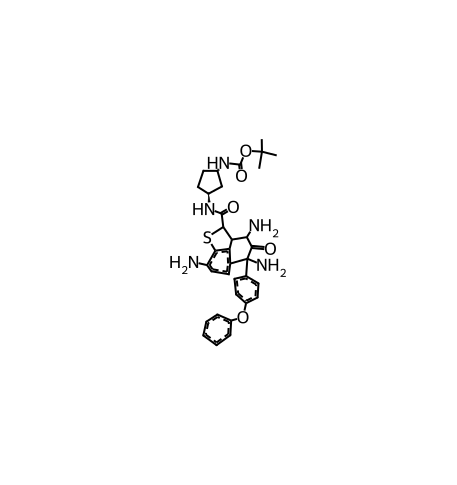 CC(C)(C)OC(=O)N[C@@H]1CC[C@H](NC(=O)C2Sc3c(N)ccc4c3C2C(N)C(=O)C4(N)c2ccc(Oc3ccccc3)cc2)C1